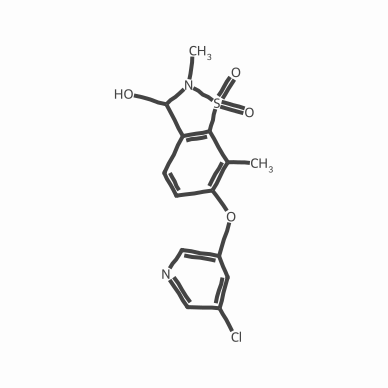 Cc1c(Oc2cncc(Cl)c2)ccc2c1S(=O)(=O)N(C)C2O